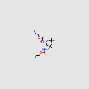 CCCOC(=S)NCC1(C)CC(NC(=S)OCCC)CC(C)(C)C1